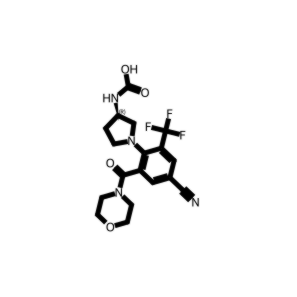 N#Cc1cc(C(=O)N2CCOCC2)c(N2CC[C@@H](NC(=O)O)C2)c(C(F)(F)F)c1